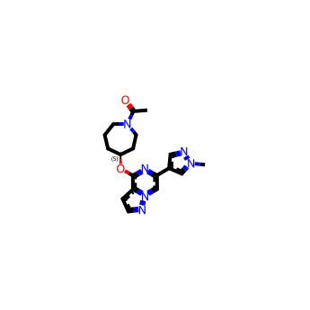 CC(=O)N1CCC[C@H](Oc2nc(-c3cnn(C)c3)cn3nccc23)CC1